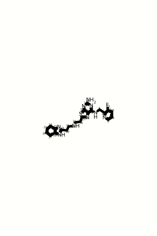 Nc1nc(NCc2ncccc2F)c2nc(CCNCCc3nc4ccccc4[nH]3)sc2n1